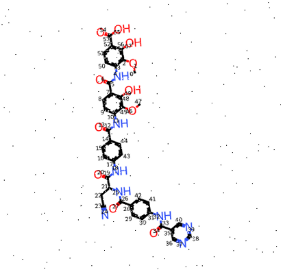 COc1c(NC(=O)c2ccc(NC(=O)c3ccc(NC(=O)C(CC#N)NC(=O)c4ccc(NC(=O)c5cncnc5)cc4)cc3)c(OC)c2O)ccc(C(=O)O)c1O